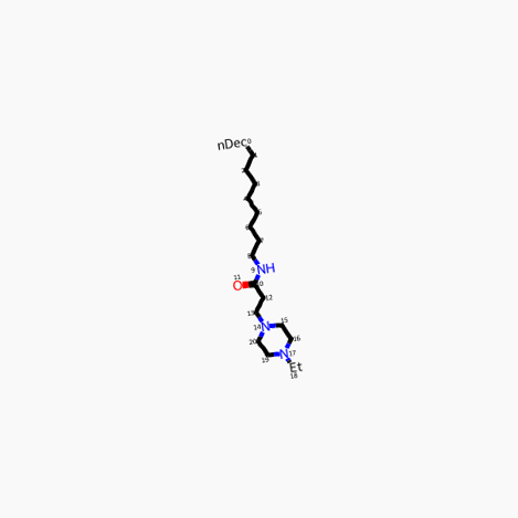 CCCCCCCCCCCCCCCCCCNC(=O)CCN1CCN(CC)CC1